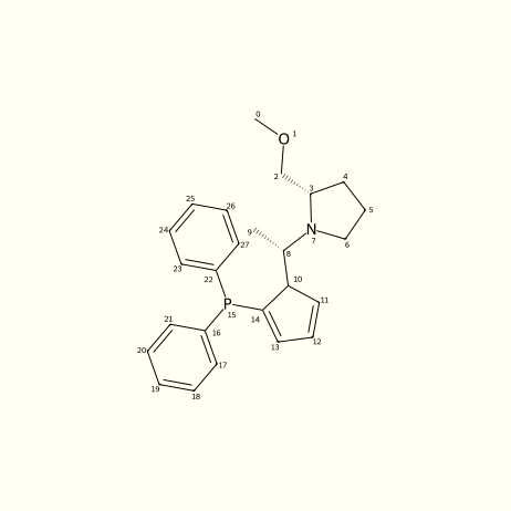 COC[C@@H]1CCCN1[C@@H](C)C1C=CC=C1P(c1ccccc1)c1ccccc1